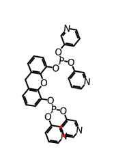 c1cncc(OP(Oc2cccnc2)Oc2cccc3c2Oc2c(cccc2OP(Oc2cccnc2)Oc2cccnc2)C3)c1